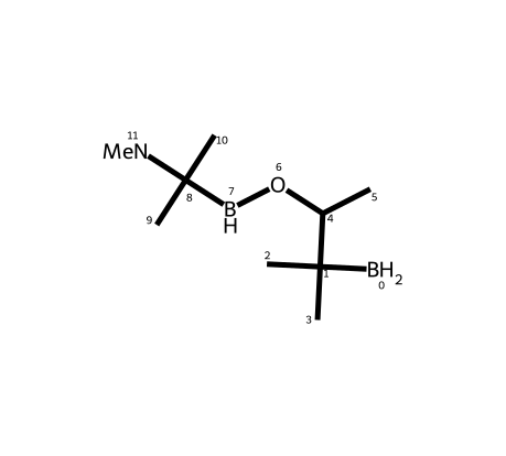 BC(C)(C)C(C)OBC(C)(C)NC